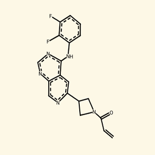 C=CC(=O)N1CC(c2cc3c(Nc4cccc(F)c4F)ncnc3cn2)C1